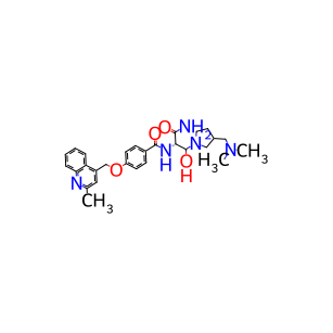 Cc1cc(COc2ccc(C(=O)N[C@H](C(N)=O)C(O)N3CCC(CN(C)C)C3)cc2)c2ccccc2n1